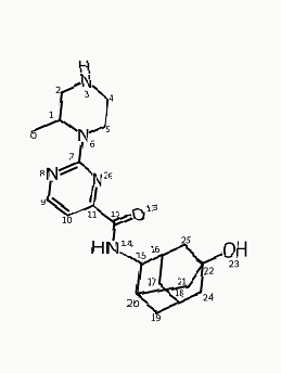 CC1CNCCN1c1nccc(C(=O)NC2C3CC4CC2CC(O)(C4)C3)n1